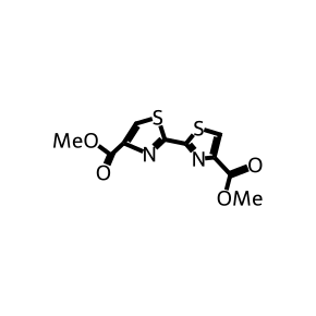 COC(=O)c1csc(-c2nc(C(=O)OC)cs2)n1